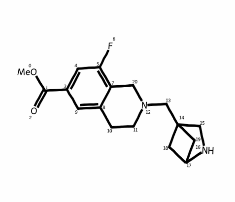 COC(=O)c1cc(F)c2c(c1)CCN(CC13CNC(C1)C3)C2